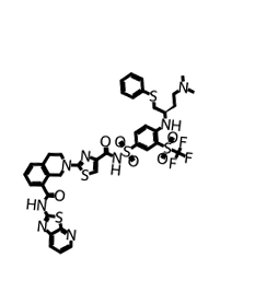 CN(C)CC[C@H](CSc1ccccc1)Nc1ccc(S(=O)(=O)NC(=O)c2csc(N3CCc4cccc(C(=O)Nc5nc6cccnc6s5)c4C3)n2)cc1S(=O)(=O)C(F)(F)F